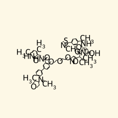 CCN(c1cc(-c2ccc(OCCOCCOc3cc(C(C(=O)N4C[C@H](O)C[C@H]4C(=O)NC(C)c4ccc(-c5scnc5C)cc4)C(C)C)on3)c(C(=O)NCc3c(C)cc(C)[nH]c3=O)c2)ccc1C)C1CCOCC1